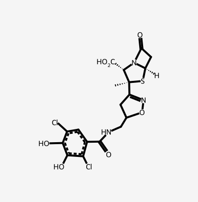 C[C@@]1(C2=NOC(CNC(=O)c3cc(Cl)c(O)c(O)c3Cl)C2)S[C@@H]2CC(=O)N2[C@H]1C(=O)O